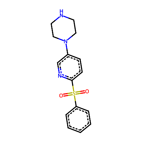 O=S(=O)(c1ccccc1)c1ccc(N2CCNCC2)cn1